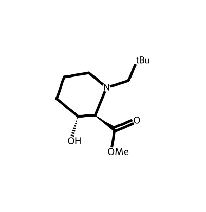 COC(=O)[C@H]1[C@H](O)CCCN1CC(C)(C)C